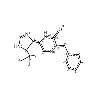 CC(C)(C)C1NC=N/C1=c1/[c]n/c(=C\c2ccccc2)c(=O)[nH]1